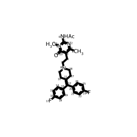 CC(=O)Nc1nc(C)c(CCN2CCC(=C(c3ccc(F)cc3)c3ccc(F)cc3)CC2)c(=O)n1C